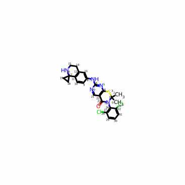 CC1(C)Sc2nc(Nc3ccc4c(c3)CCNC43CC3)ncc2C(=O)N1c1c(Cl)cccc1Cl